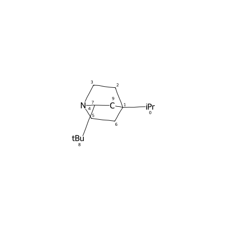 CC(C)C12CCN(CC1)C(C(C)(C)C)C2